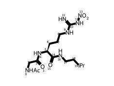 CC(=O)NCC(=O)N[C@@H](CCCNC(=N)N[N+](=O)[O-])C(=O)NCCC(C)C